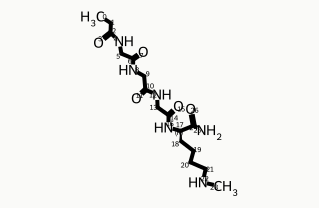 CCC(=O)NCC(=O)NCC(=O)NCC(=O)N[C@H](CCCCNC)C(N)=O